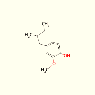 CCC(C)Cc1ccc(O)c(OC)c1